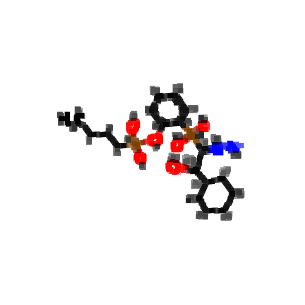 CCCCS(=O)(=O)Oc1ccccc1S(=O)(=O)C(=[N+]=[N-])C(=O)C1CCCCC1